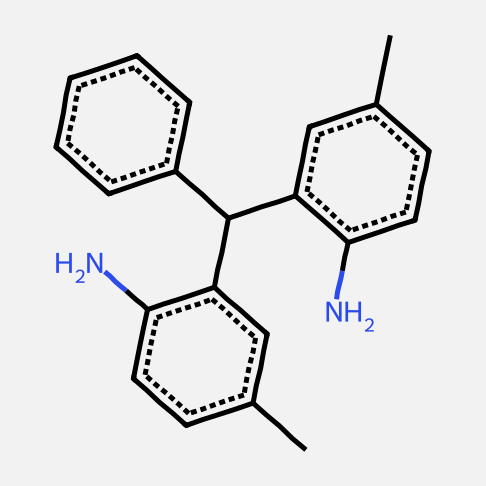 Cc1ccc(N)c(C(c2ccccc2)c2cc(C)ccc2N)c1